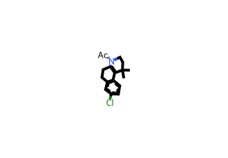 CC(=O)N1CCC(C)(C)C2=C1CCc1cc(Cl)ccc12